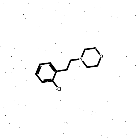 Clc1ccccc1[CH]CN1CCOCC1